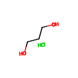 Cl.OCCCO